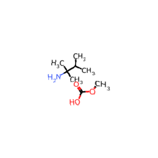 CC(C)C(C)(C)N.COC(=O)O